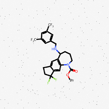 CC(C)OC(=O)N1CCCC(NCc2cc(C(F)(F)F)cc(C(F)(F)F)c2)c2cc3c(cc21)C(F)(F)CC3